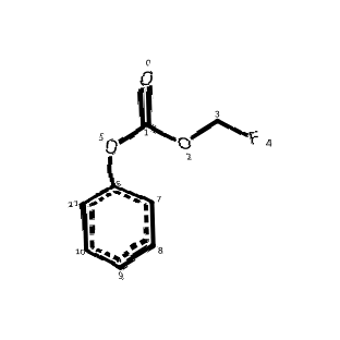 O=C(OCF)Oc1ccccc1